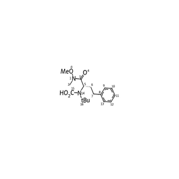 CON(C)C(=O)[C@H](CCc1ccccc1)N(C(=O)O)C(C)(C)C